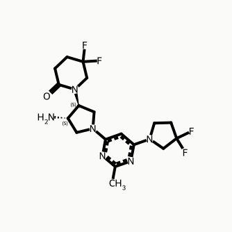 Cc1nc(N2C[C@H](N)[C@@H](N3CC(F)(F)CCC3=O)C2)cc(N2CCC(F)(F)C2)n1